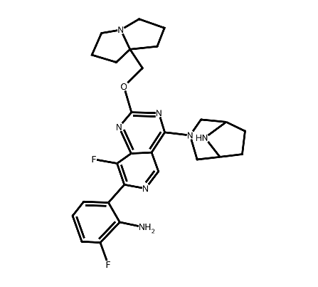 Nc1c(F)cccc1-c1ncc2c(N3CC4CCC(C3)N4)nc(OCC34CCCN3CCC4)nc2c1F